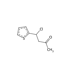 CC(=O)CC(Cl)c1cccs1